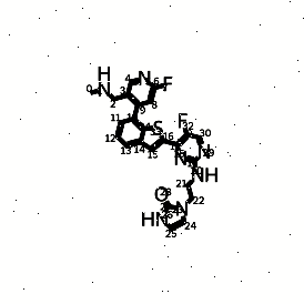 CNCc1cnc(F)cc1-c1cccc2cc(-c3nc(NCCn4cc[nH]c4=O)ncc3F)sc12